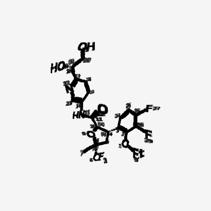 CCOc1c([C@@H]2C[C@](C)(C(F)(F)F)O[C@H]2C(=O)Nc2ccc([C@H](O)CO)nc2)ccc(F)c1F